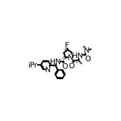 CC(C)c1ccc([C@@H](NC(=O)[C@@H]2C[C@@H](F)CN2C(=O)[C@H](C)NC(=O)N(C)C)c2ccccc2)nc1